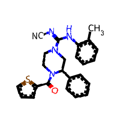 Cc1ccccc1N/C(=N/C#N)N1CCN(C(=O)c2cccs2)C(c2ccccc2)C1